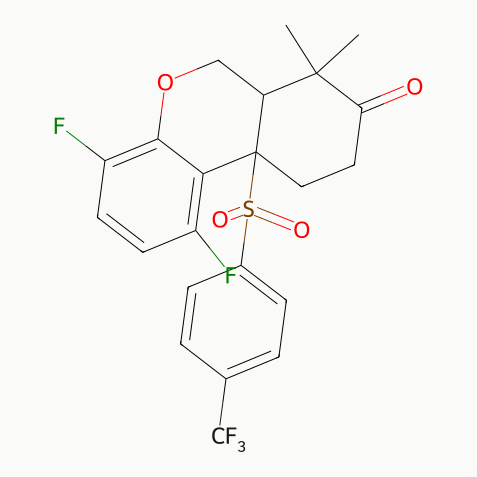 CC1(C)C(=O)CCC2(S(=O)(=O)c3ccc(C(F)(F)F)cc3)c3c(F)ccc(F)c3OCC12